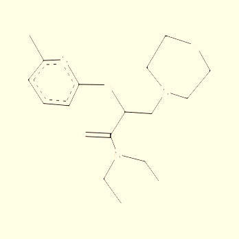 CCN(CC)C(=O)C(CN1CCOCC1)Sc1cccc(C)n1